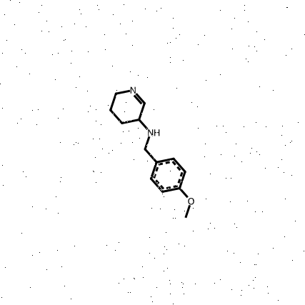 COc1ccc(CNC2C=NCCC2)cc1